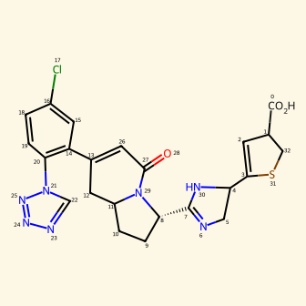 O=C(O)C1C=C(C2CN=C([C@@H]3CCC4CC(c5cc(Cl)ccc5-n5cnnn5)=CC(=O)N43)N2)SC1